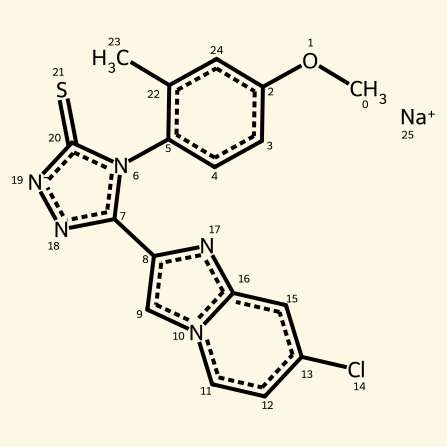 COc1ccc(-n2c(-c3cn4ccc(Cl)cc4n3)n[n-]c2=S)c(C)c1.[Na+]